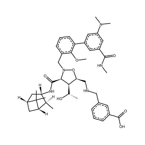 CNC(=O)c1cc(-c2cccc(CN3O[C@@H](CNCc4cccc(C(=O)O)c4)[C@@H]([C@H](C)O)[C@H]3C(=O)N[C@H]3C[C@H]4C[C@@H]([C@@H]3C)C4(C)C)c2OC)cc(N(C)C)c1